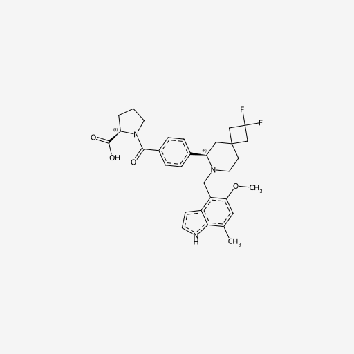 COc1cc(C)c2[nH]ccc2c1CN1CCC2(C[C@@H]1c1ccc(C(=O)N3CCC[C@@H]3C(=O)O)cc1)CC(F)(F)C2